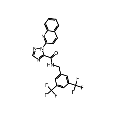 O=C(NCc1cc(C(F)(F)F)cc(C(F)(F)F)c1)c1ncnn1-c1ccc2ccccc2n1